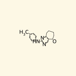 Cc1ccc(Nc2ncc3c(n2)CCCCC3=O)cc1